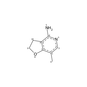 Cc1cnc(N)c2c1OCC2